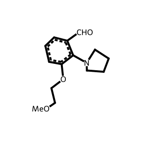 COCCOc1cccc(C=O)c1N1CCCC1